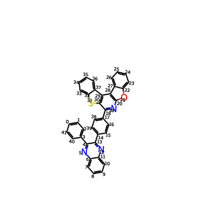 c1ccc(-c2nc3ccccc3nc2-c2ccc(-c3nc4oc5ccccc5c4c4c3sc3ccccc34)cc2)cc1